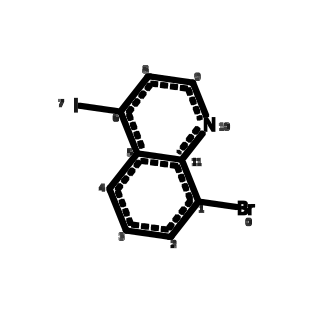 Brc1cccc2c(I)ccnc12